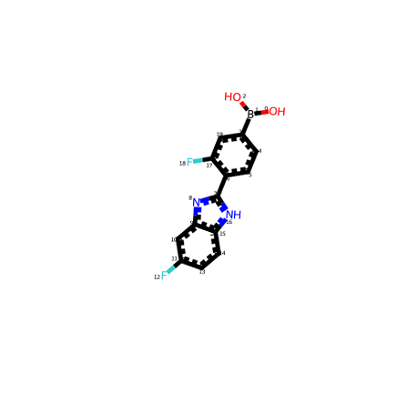 OB(O)c1ccc(-c2nc3cc(F)ccc3[nH]2)c(F)c1